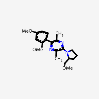 COCC1CCCN1c1nc(C)c(-c2ccc(OC)cc2OC)nc1C